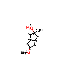 CC(C)(C)OC1CC2CC(O)(C(C)(C)C)CC2C1